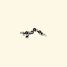 CC1=NC2C=CC(COc3cccc(C4CCN(Cc5nc6ccc(C(=O)O)cc6n5CC5CCO5)CC4)n3)=CC2O1